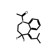 CC(=O)N1CCC(F)(F)/C(=C/C(C)C)c2ccccc21